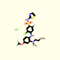 CNCCN(C)c1cc(OC(F)F)ccc1Nc1cc(F)c(S(=O)(=O)Nc2nccs2)cc1Cl.Cl